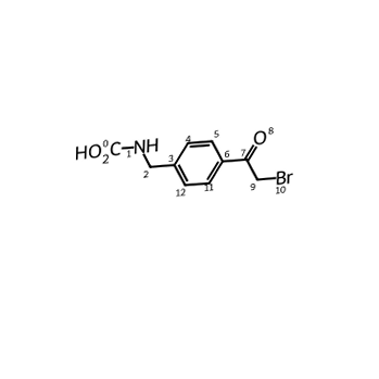 O=C(O)NCc1ccc(C(=O)CBr)cc1